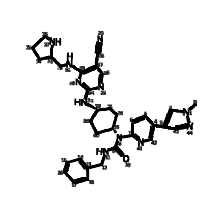 Cn1cc(-c2ccc(N(C(=O)NCc3ccccc3)[C@H]3CC[C@H](Nc4ncc(C#N)c(NCC5CCCN5)n4)CC3)nc2)cn1